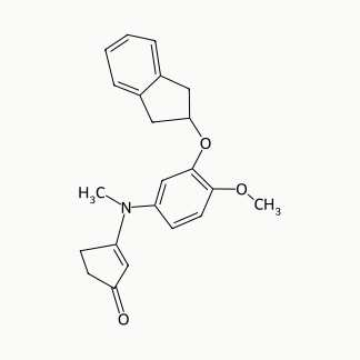 COc1ccc(N(C)C2=CC(=O)CC2)cc1OC1Cc2ccccc2C1